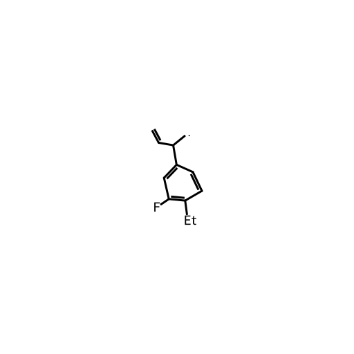 [CH2]C(C=C)c1ccc(CC)c(F)c1